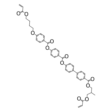 C=CC(=O)OCCCCOc1ccc(C(=O)Oc2ccc(C(=O)Oc3ccc(-c4ccc(C(=O)OCC(C)COC(=O)C=C)cc4)cc3)cc2)cc1